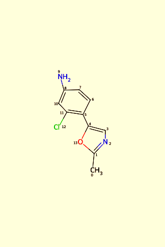 Cc1ncc(-c2ccc(N)cc2Cl)o1